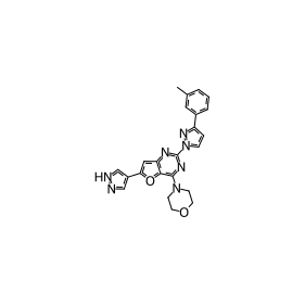 Cc1cccc(-c2ccn(-c3nc(N4CCOCC4)c4oc(-c5cn[nH]c5)cc4n3)n2)c1